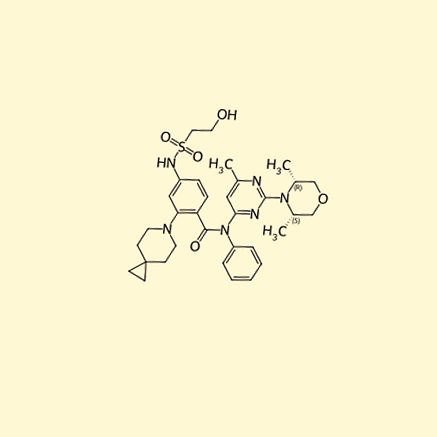 Cc1cc(N(C(=O)c2ccc(NS(=O)(=O)CCO)cc2N2CCC3(CC2)CC3)c2ccccc2)nc(N2[C@H](C)COC[C@@H]2C)n1